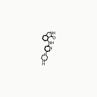 O=C1NCc2cccc(Nc3ccc(N4CCNCC4)cn3)c21